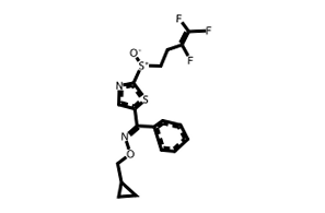 [O-][S+](CCC(F)=C(F)F)c1ncc(/C(=N/OCC2CC2)c2ccccc2)s1